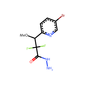 COC(c1ccc(Br)cn1)C(F)(F)C(=O)NN